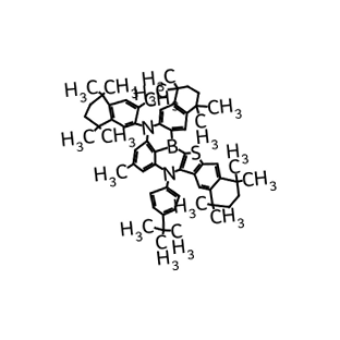 Cc1cc2c3c(c1)N(c1ccc(C(C)(C)C)cc1)c1c(sc4cc5c(cc14)C(C)(C)CCC5(C)C)B3c1cc3c(cc1N2c1cc2c(cc1C)C(C)(C)CCC2(C)C)C(C)(C)CCC3(C)C